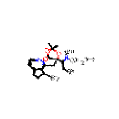 CCC1CCc2ccnc(C[C@]3(C(CC(C)C)N(C(=O)O)C(C)(C)C)OC(C)(C)OC3=O)c21